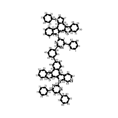 c1ccc(-c2cc(-n3c4ccccc4c4c5c(ccn5-c5ccccc5)c5c6ccccc6sc5c43)nc(-c3cccc(-c4ccc5c(c4)c4c6ccccc6sc4c4c5c5ccncc5n4-c4nc(-c5ccccc5)cc(-c5ccccc5)n4)c3)n2)cc1